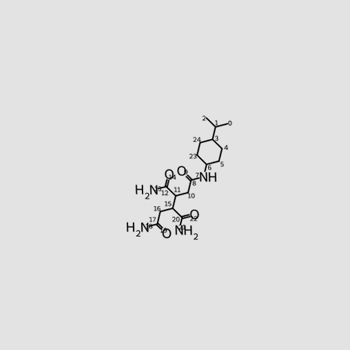 CC(C)C1CCC(NC(=O)CC(C(N)=O)C(CC(N)=O)C(N)=O)CC1